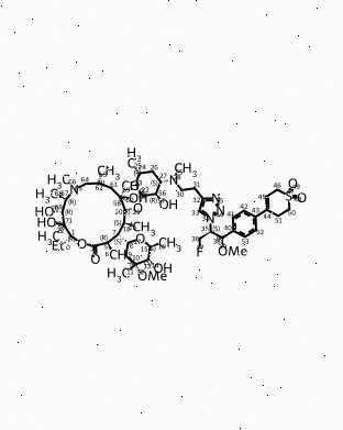 CC[C@H]1OC(=O)[C@H](C)[C@@H](C2C[C@@](C)(OC)[C@@H](O)[C@H](C)O2)[C@H](C)[C@@H](O[C@@H]2O[C@H](C)C[C@H](N(C)CCc3cn([C@H](CF)[C@H](OC)c4ccc(C5=CCS(=O)(=O)CC5)cc4)nn3)[C@H]2O)[C@](C)(O)C[C@@H](C)CN(C)[C@H](C)[C@@H](O)[C@]1(C)O